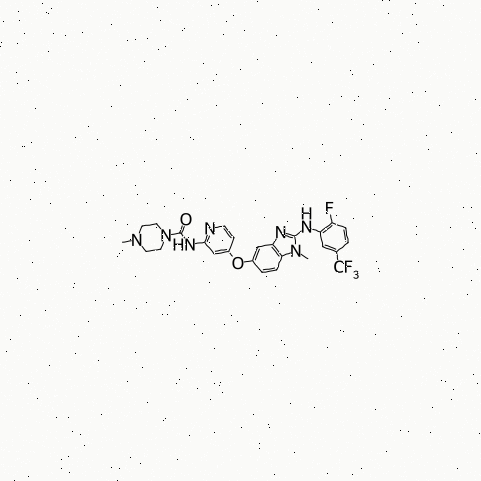 CN1CCN(C(=O)Nc2cc(Oc3ccc4c(c3)nc(Nc3cc(C(F)(F)F)ccc3F)n4C)ccn2)CC1